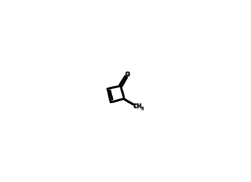 CC1C=CC1=O